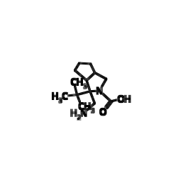 CC(C)(C)C1(CN)C2CCCC2CN1C(=O)O